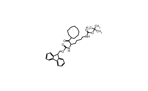 CC(C)(C)OC(=O)NCCCCC(NC(=O)OCC1c2ccccc2-c2ccccc21)C(=O)C1CCCCCCCC1